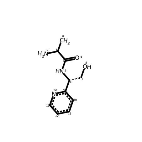 CC(N)C(=O)N[C@H](CO)c1ccccn1